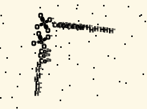 O=S(=O)([O-])[O-].O=S(=O)([O-])[O-].[Co+2].[Co+2].[Co+2].[Co+2].[Co+2].[Co+2].[Co+2].[Co+2].[Co+2].[H-].[H-].[H-].[H-].[H-].[H-].[H-].[H-].[H-].[H-].[H-].[H-].[H-].[H-]